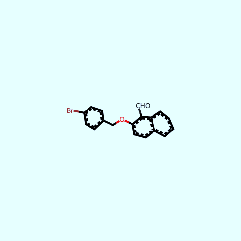 O=Cc1c(OCc2ccc(Br)cc2)ccc2ccccc12